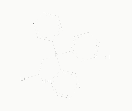 CCCCC(CC)C[P+](c1ccccc1)(c1ccccc1)c1ccccc1.[Cl-]